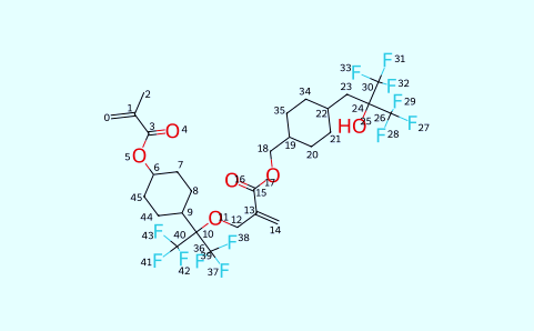 C=C(C)C(=O)OC1CCC(C(OCC(=C)C(=O)OCC2CCC(CC(O)(C(F)(F)F)C(F)(F)F)CC2)(C(F)(F)F)C(F)(F)F)CC1